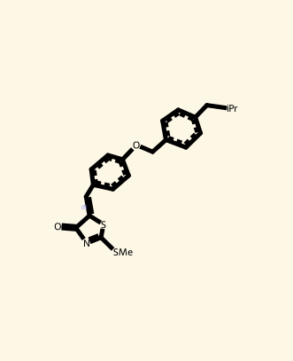 CSC1=NC(=O)/C(=C/c2ccc(OCc3ccc(CC(C)C)cc3)cc2)S1